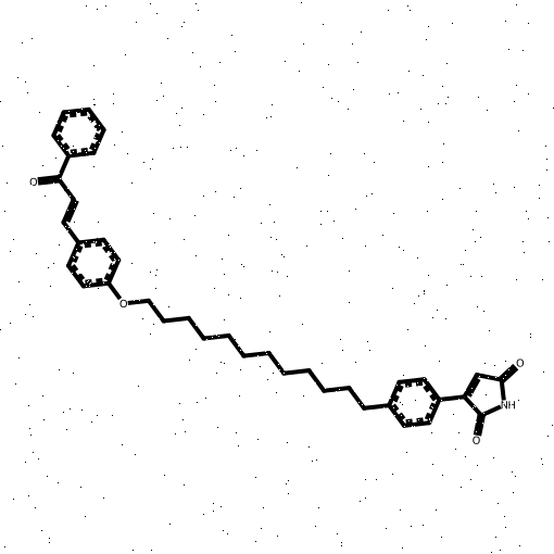 O=C1C=C(c2ccc(CCCCCCCCCCCCOc3ccc(C=CC(=O)c4ccccc4)cc3)cc2)C(=O)N1